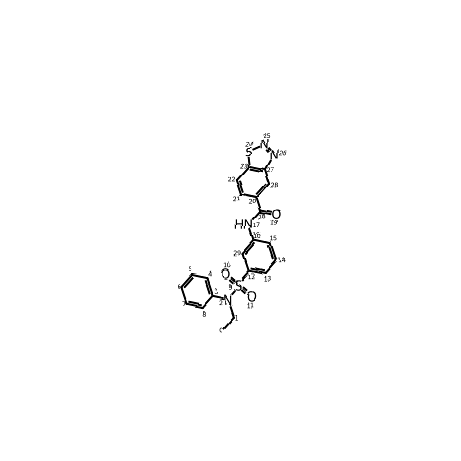 CCN(c1ccccc1)S(=O)(=O)c1cccc(NC(=O)c2ccc3snnc3c2)c1